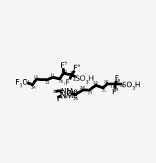 CNC.CNC.O=S(=O)(O)C(F)(F)C(F)CCCCCC(F)(F)F.O=S(=O)(O)C(F)(F)CCCCCCC(F)(F)F